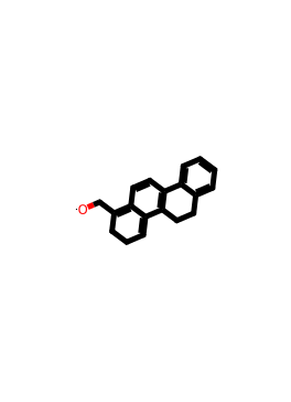 [O]CC1=c2ccc3c(c2=CCC1)CCc1ccccc1-3